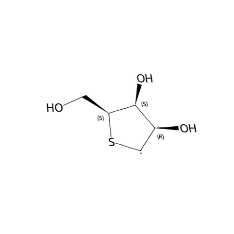 OC[C@@H]1S[CH][C@H](O)[C@@H]1O